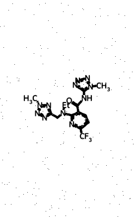 CCN(Cc1nnn(C)n1)c1nc(C(F)(F)F)ccc1C(=O)Nc1nnnn1C